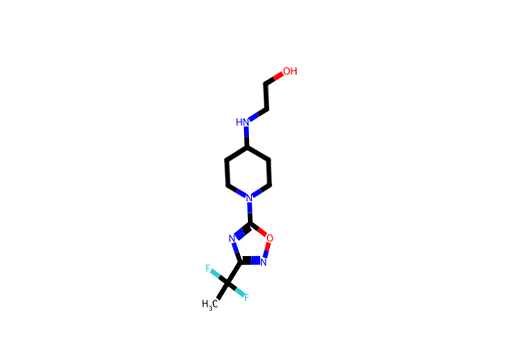 CC(F)(F)c1noc(N2CCC(NCCO)CC2)n1